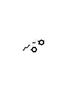 Cc1ccc2sc(CN3C(=O)C(CC(=O)O)Sc4ccccc43)nc2c1